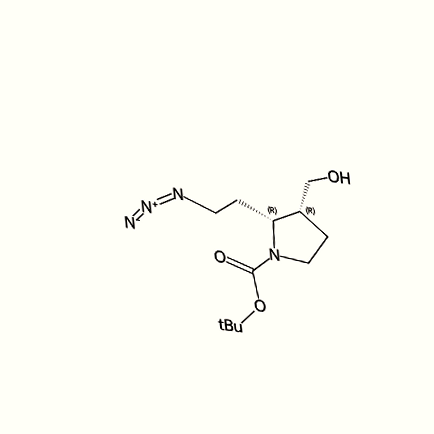 CC(C)(C)OC(=O)N1CC[C@@H](CO)[C@H]1CCN=[N+]=[N-]